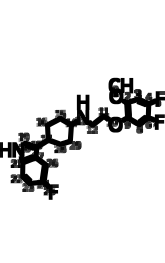 COc1cc(F)c(F)cc1OCCNC1CCC(c2c[nH]c3ccc(F)cc23)CC1